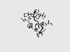 CC(C)(CC[N+](C)(C)CC(F)(F)F)N(Cl)Cl.[Cl-]